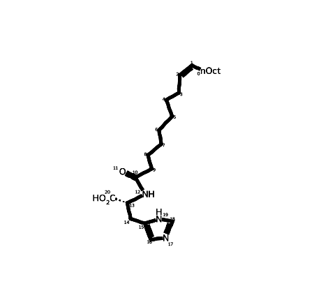 CCCCCCCC/C=C\CCCCCCCC(=O)N[C@H](Cc1cnc[nH]1)C(=O)O